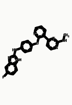 CNc1nccc(-c2cccnc2Oc2ccc(Nc3nc4cc(F)ccc4[nH]3)cc2)n1